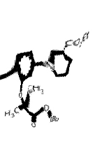 CCOC(=O)[C@@H]1CCCN(c2ccc(F)c(OC(C)(C)C(=O)OC(C)(C)C)c2)C1